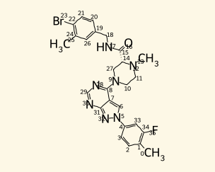 Cc1ccc(-n2cc3c(N4CCN(C)[C@@H](C(=O)NCc5ccc(Br)c(C)c5)C4)ncnc3n2)cc1F